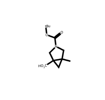 CC(C)(C)OC(=O)N1CC2(C)CC2(C(=O)O)C1